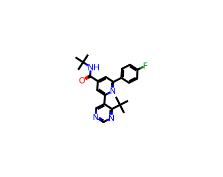 CC(C)(C)NC(=O)c1cc(-c2ccc(F)cc2)nc(-c2cncnc2C(C)(C)C)c1